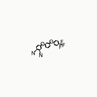 N#Cc1ccc(Oc2cccc(Oc3ccc(C(F)(F)F)cc3)c2)cc1C#N